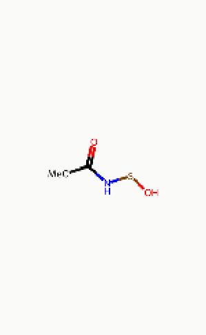 COC(=O)NSO